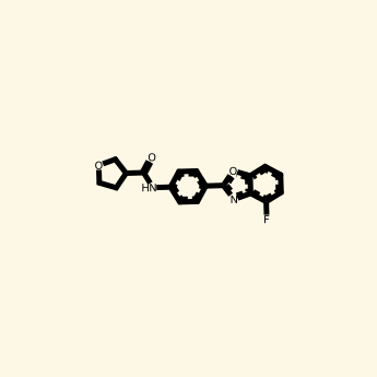 O=C(Nc1ccc(-c2nc3c(F)cccc3o2)cc1)C1CCOC1